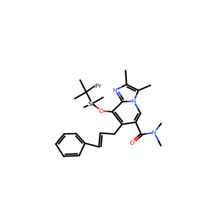 Cc1nc2c(O[Si](C)(C)C(C)(C)C(C)C)c(C/C=C/c3ccccc3)c(C(=O)N(C)C)cn2c1C